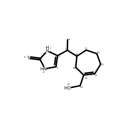 CC(c1c[nH]c(=S)[nH]1)C1CCCC=C(CO)C1